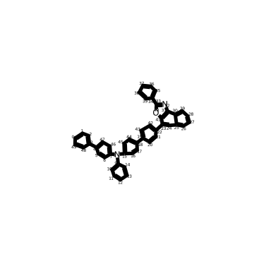 c1ccc(-c2ccc(N(c3ccccc3)c3ccc(-c4ccc(-c5cc6ccccc6c6nc(-c7ccccc7)oc56)cc4)cc3)cc2)cc1